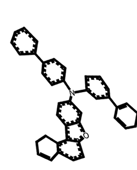 C1=CC(c2cccc(N(c3ccc(-c4ccccc4)cc3)c3ccc4c(c3)oc3ccc5c(c34)CCC=C5)c2)=CCC1